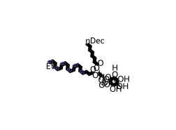 CC/C=C\C/C=C\C/C=C\C/C=C\C/C=C\C/C=C\CCC(=O)O[C@H](COC(=O)CCCCCCCCCCCCCCCCC)COP(=O)(O)OC1C(O)C(O)C(O)[C@@H](O)C1O